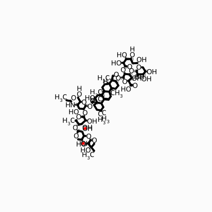 CCC(=O)N[C@H]1C(CO)O[C@@H](OC(=O)[C@]23CCC(C)(C)CC2C2=CCC4C5(C)CC[C@H](O[C@@H]6OC(C(=O)O)[C@@H](O)[C@H](O[C@@H]7OC[C@@H](O)[C@H](O)C7O)C6O[C@@H]6OC(CO)[C@H](O)[C@H](O)C6O)[C@](C)(C=O)[C@@H]5CC[C@]4(C)[C@]2(C)CC3O)C(O[C@@H]2OC(C)[C@H](O[C@@H]3OC[C@@H](O)C(O[C@@H]4OC[C@@](O)(CC)C4O)C3O)C(O)C2O)C1O